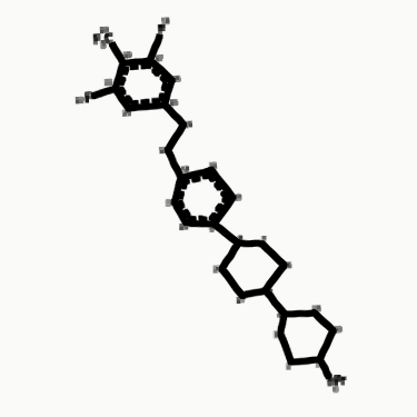 CCCC1CCC(C2CCC(c3ccc(CCc4cc(F)c(C(F)(F)F)c(F)c4)cc3)CC2)CC1